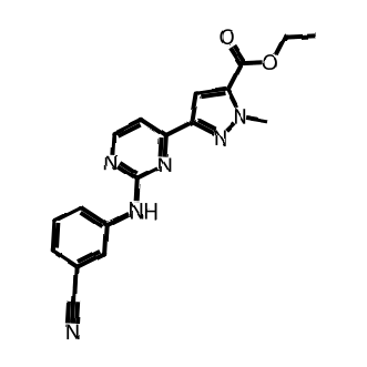 CCOC(=O)c1cc(-c2ccnc(Nc3cccc(C#N)c3)n2)nn1C